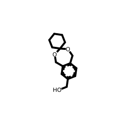 OCc1ccc2c(c1)COC1(CCCCC1)OC2